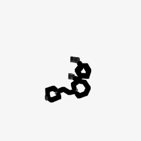 CCC1(c2cccc(O)c2)CCCCN(CCN2CCOCC2)C1